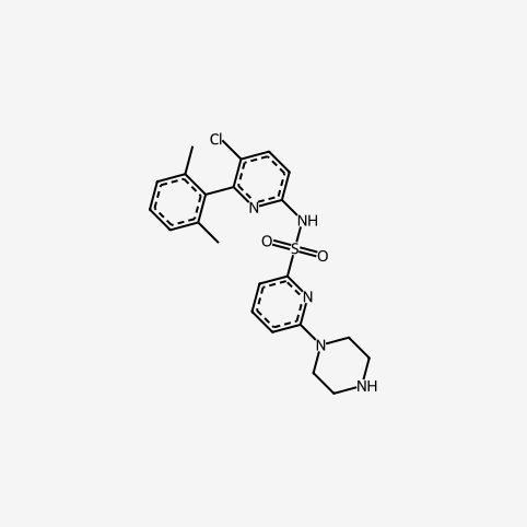 Cc1cccc(C)c1-c1nc(NS(=O)(=O)c2cccc(N3CCNCC3)n2)ccc1Cl